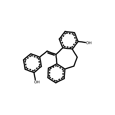 Oc1cccc(/C=C2\c3ccccc3CCc3c(O)cccc32)c1